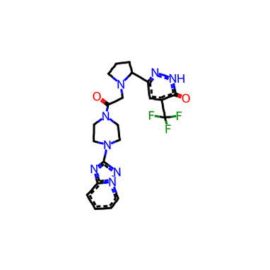 O=C(CN1CCCC1c1cc(C(F)(F)F)c(=O)[nH]n1)N1CCN(c2nc3ccccn3n2)CC1